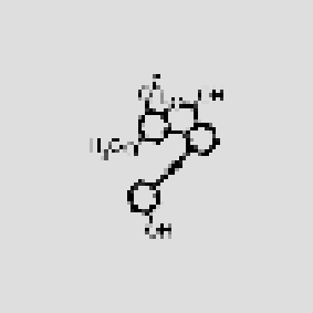 COc1cc(OC)cc(-c2c(C#Cc3cccc(O)c3)cccc2C(=O)O)c1